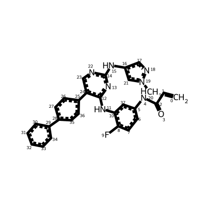 C=CC(=O)Nc1ccc(F)c(Nc2nc(Nc3cnn(C)c3)ncc2-c2ccc(-c3ccccc3)cc2)c1